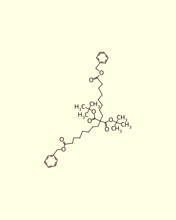 CC(C)(C)OC(=O)C(CCCCCCCC(=O)OCc1ccccc1)(CCCCCCCC(=O)OCc1ccccc1)C(=O)OC(C)(C)C